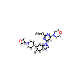 COc1nc(N2CCOCC2)cc(-n2ncc3cc(C)c(C4CCN(C5COC5)CC4)cc32)n1